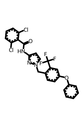 O=C(Nc1ccn(Cc2ccc(Oc3ccccc3)cc2C(F)(F)F)n1)c1c(Cl)cccc1Cl